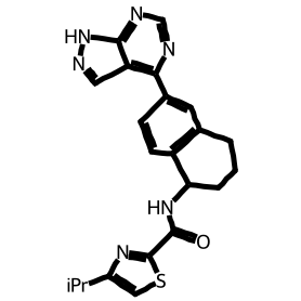 CC(C)c1csc(C(=O)NC2CCCc3cc(-c4ncnc5[nH]ncc45)ccc32)n1